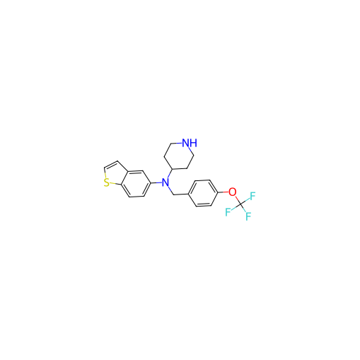 FC(F)(F)Oc1ccc(CN(c2ccc3sccc3c2)C2CCNCC2)cc1